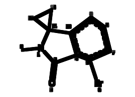 CN1C(=O)c2c(Br)cccc2C12CC2